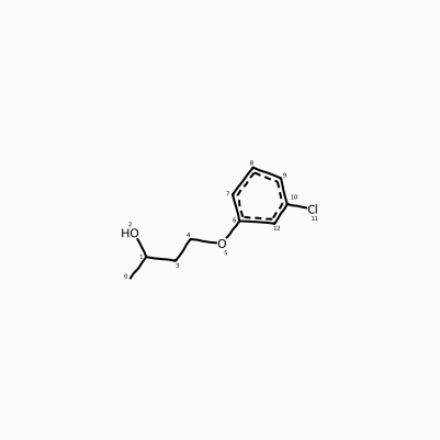 CC(O)CCOc1cccc(Cl)c1